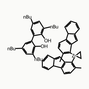 CCCCc1cc(CCCC)c(O)c(-c2cc(CCCC)cc(CCCC)c2O)c1.Cc1ccc2c([c]1[Zr]1([c]3c(C)ccc4c3C=C3C=CC=CC34)[CH2][CH2]1)C=C1C=CC=CC12